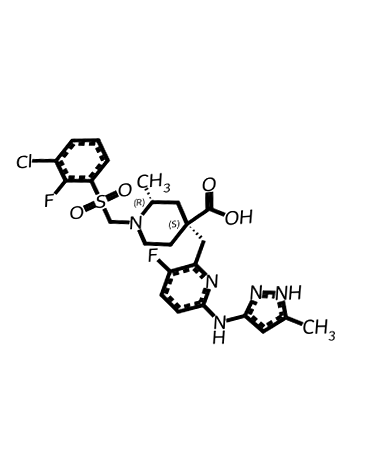 Cc1cc(Nc2ccc(F)c(C[C@]3(C(=O)O)CCN(CS(=O)(=O)c4cccc(Cl)c4F)[C@H](C)C3)n2)n[nH]1